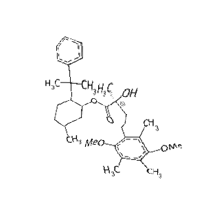 COc1c(C)c(C)c(OC)c(CC[C@](C)(O)C(=O)OC2CC(C)CCC2C(C)(C)c2ccccc2)c1C